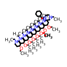 CCOC1CCN(CC)C2=C1C(OCC)C1=C(N2CC)N(CC)C2=C(C1OCC)C(OCC)C1=C(N2CC)N(CC)C2=C(C1OCC)C(OCC)C1=C(N2CC)N(CC)C2=C(C(OCC)CC3(CN(CC)CCN3CC3CCCCC3)N2CC)C1OCC